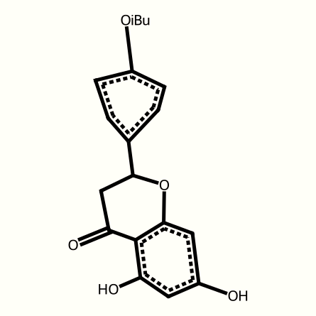 CC(C)COc1ccc(C2CC(=O)c3c(O)cc(O)cc3O2)cc1